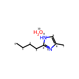 CCCCc1nc(C)c[nH]1.O